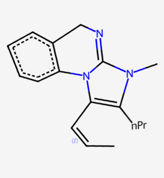 C/C=C\C1=C(CCC)N(C)C2=NCc3ccccc3N21